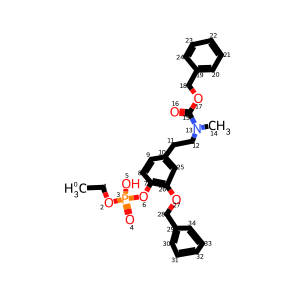 CCOP(=O)(O)Oc1ccc(CCN(C)C(=O)OCc2ccccc2)cc1OCc1ccccc1